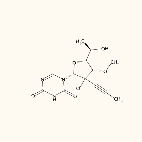 CC#CC1(Cl)[C@@H](OC)[C@@H]([C@@H](C)O)O[C@H]1n1cnc(=O)[nH]c1=O